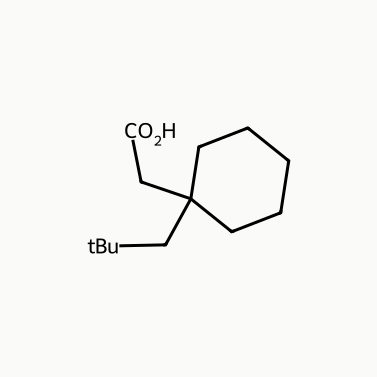 CC(C)(C)CC1(CC(=O)O)CCCCC1